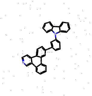 c1cc(-c2ccc3c4ccncc4c4ccccc4c3c2)cc(-n2c3ccccc3c3ccccc32)c1